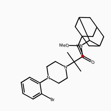 COC(=O)C12CC3CC(C1)C(NC(=O)C(C)(C)N1CCN(c4ccccc4Br)CC1)C(C3)C2